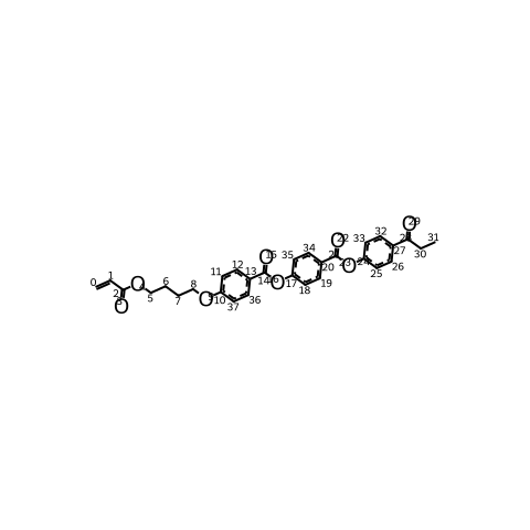 C=CC(=O)OCCCCOc1ccc(C(=O)Oc2ccc(C(=O)Oc3ccc(C(=O)CC)cc3)cc2)cc1